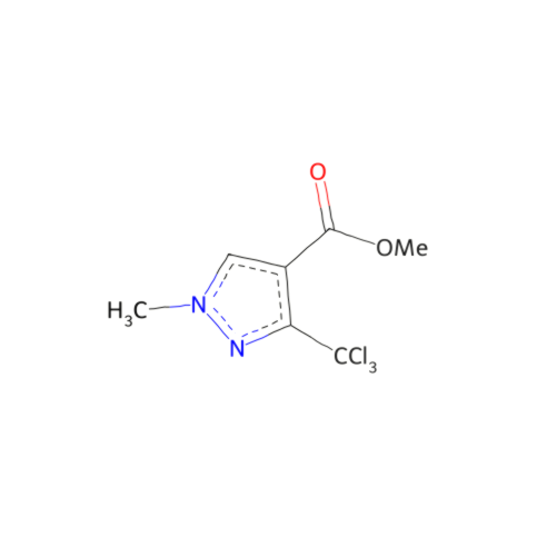 COC(=O)c1cn(C)nc1C(Cl)(Cl)Cl